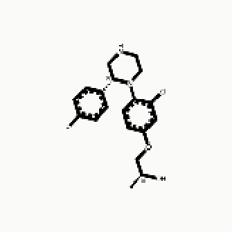 C[C@H](O)COc1ccc(N2CCNC[C@H]2c2ccc(F)cc2)c(Cl)c1